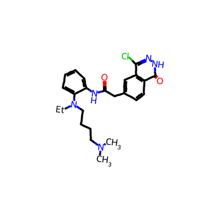 CCN(CCCCN(C)C)c1ccccc1NC(=O)Cc1ccc2c(=O)[nH]nc(Cl)c2c1